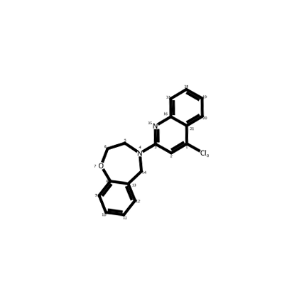 Clc1cc(N2CCOc3ccccc3C2)nc2ccccc12